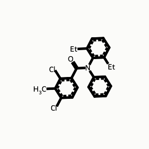 CCc1cccc(CC)c1N(C(=O)c1ccc(Cl)c(C)c1Cl)c1ccccc1